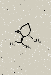 CC(C)=C1NCCCN1C